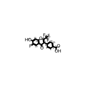 O=C(O)c1ccc(-c2c(C(F)(F)F)oc3cc(O)c(F)cc3c2=O)cc1